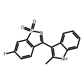 Cc1[nH]c2ccccc2c1C1=NS(=O)(=O)c2cc(F)ccc21